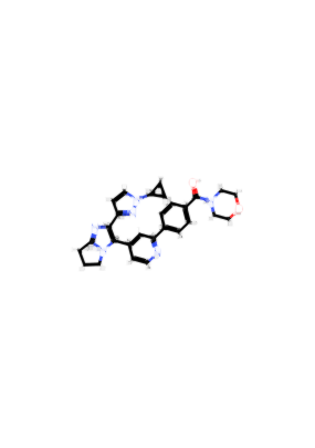 O=C(c1ccc(-c2cc(-c3c(-c4ccn(C5CC5)n4)nc4n3CCC4)ccn2)cc1)N1CCOCC1